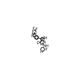 [2H]c1cc(-c2ccc3nnn(CC(F)(F)F)c3c2)c2c(OC)nc(N[C@H]3CCN(C)C[C@H]3F)nn12